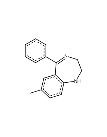 Cc1ccc2c(c1)C(c1ccccc1)=NCCN2